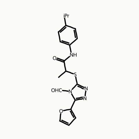 CC(Sc1nnc(-c2ccco2)n1C=O)C(=O)Nc1ccc(C(C)C)cc1